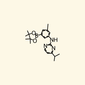 Cc1cc(Nc2nccc(C(C)C)n2)cc(B2OC(C)(C)C(C)(C)O2)c1